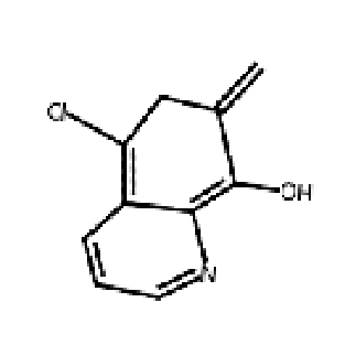 C=C1CC(Cl)=c2cccnc2=C1O